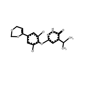 CC(C)c1cc(Oc2c(Cl)cc(C3=CCOCO3)cc2Cl)n[nH]c1=O